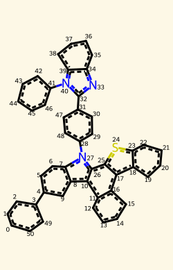 c1ccc(-c2ccc3c(c2)c2c4ccccc4c4c5ccccc5sc4c2n3-c2ccc(-c3nc4ccccc4n3-c3ccccc3)cc2)cc1